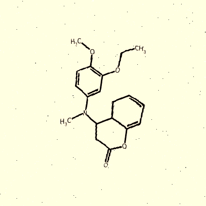 CCOc1cc(N(C)C2CC(=O)OC3=CC=CCC32)ccc1OC